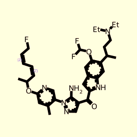 CCN(CC)CCC(C)c1cc2[nH]c(C(=O)c3cnn(-c4cnc(OC(C)/C=C\C=C/CF)cc4C)c3N)cc2cc1OC(F)F